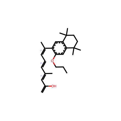 C=C(O)/C=C(C)/C=C/C=C(/C)c1cc2c(cc1OCCC)C(C)(C)CCC2(C)C